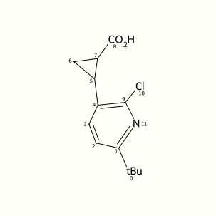 CC(C)(C)c1ccc(C2CC2C(=O)O)c(Cl)n1